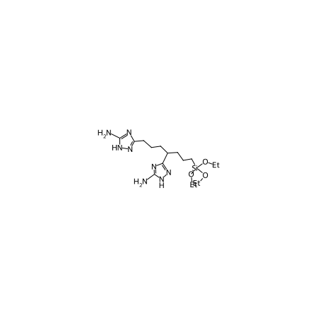 CCO[Si](CCCC(CCCc1n[nH]c(N)n1)c1n[nH]c(N)n1)(OCC)OCC